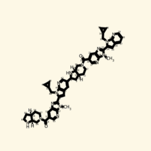 Cn1c(-c2cc3cc(C4C[C@H]5CCN(C(=O)c6cnc7c(c6)nc(-c6cc8cccnc8n6CC6CC6)n7C)C[C@H]5N4)cnc3n2CC2CC2)nc2cc(C(=O)N3CC[C@H]4CCN[C@H]4C3)cnc21